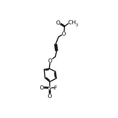 CC(=O)OCC#CCOc1ccc(S(=O)(=O)F)cc1